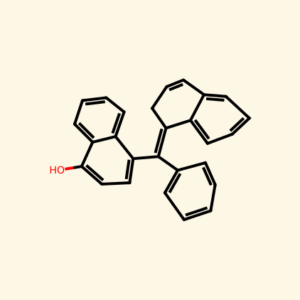 Oc1ccc(C(=C2CC=Cc3ccccc32)c2ccccc2)c2ccccc12